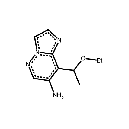 CCOC(C)c1c(N)cnn2ccnc12